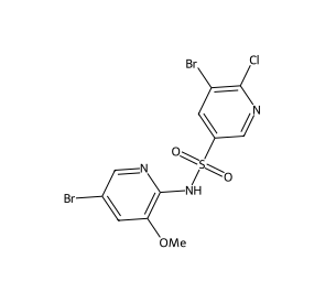 COc1cc(Br)cnc1NS(=O)(=O)c1cnc(Cl)c(Br)c1